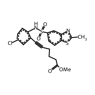 COC(=O)CCCC#Cc1cc(Cl)ccc1NS(=O)(=O)c1ccc2sc(C)nc2c1